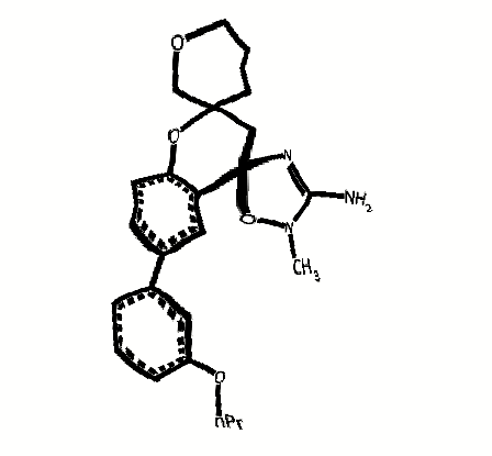 CCCOc1cccc(-c2ccc3c(c2)C2(CC4(CCCOC4)O3)N=C(N)N(C)O2)c1